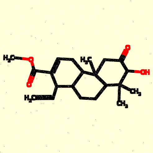 C=CC1C(C(=O)OC)=CCC2C1CCC1C(C)(C)C(O)C(=O)CC21C